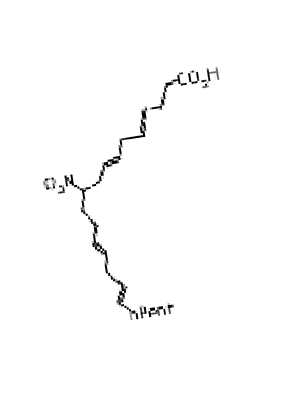 CCCCCC=CCC=CCCC(CC=CCC=CCCC(=O)O)[N+](=O)[O-]